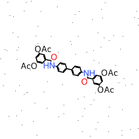 CC(=O)Oc1cc(OC(C)=O)cc(C(=O)Nc2ccc(-c3ccc(NC(=O)c4cc(OC(C)=O)cc(OC(C)=O)c4)cc3)cc2)c1